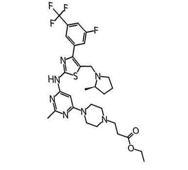 CCOC(=O)CCN1CCN(c2cc(Nc3nc(-c4cc(F)cc(C(F)(F)F)c4)c(CN4CCC[C@H]4C)s3)nc(C)n2)CC1